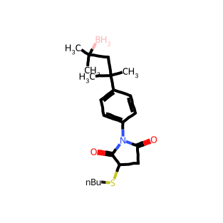 BC(C)(C)CC(C)(C)c1ccc(N2C(=O)CC(SCCCC)C2=O)cc1